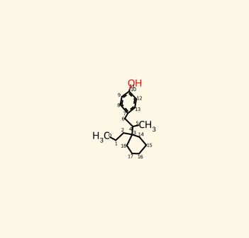 CCCC1(C(C)Cc2ccc(O)cc2)CCCCC1